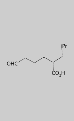 CC(C)CC(CCCC=O)C(=O)O